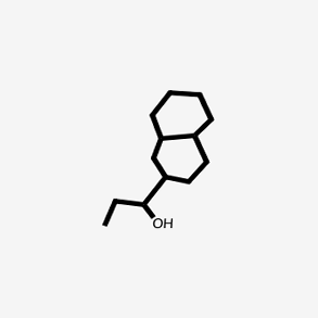 CCC(O)C1CCC2CCCCC2C1